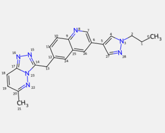 CCCn1cc(-c2cnc3ccc(Cc4nnc5ccc(C)nn45)cc3c2)cn1